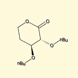 CCCCO[C@H]1CCOC(=O)[C@@H]1OCCCC